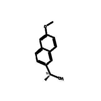 COc1ccc2cc([C@@H](C)O)ccc2c1